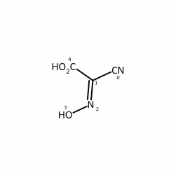 N#CC(=NO)C(=O)O